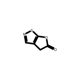 O=C1Cc2cnsc2O1